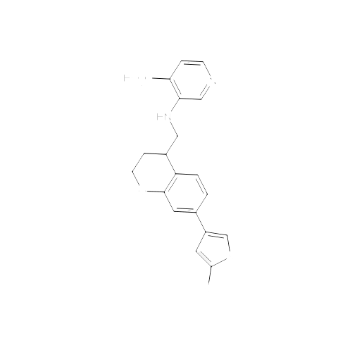 O=C(O)c1ccncc1NCC1CCOc2cc(-c3csc(C(F)(F)F)c3)ccc21